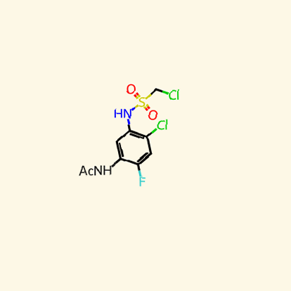 CC(=O)Nc1cc(NS(=O)(=O)CCl)c(Cl)cc1F